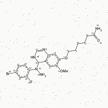 COc1cc2c(cc1OCCCCCC(N)=O)N=CNC2N(N)c1ccc(Br)cc1F